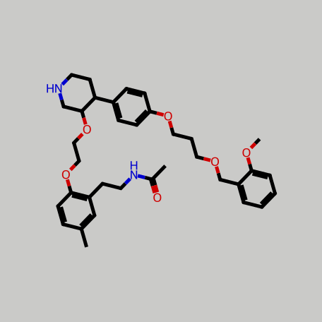 COc1ccccc1COCCCOc1ccc(C2CCNCC2OCCOc2ccc(C)cc2CCNC(C)=O)cc1